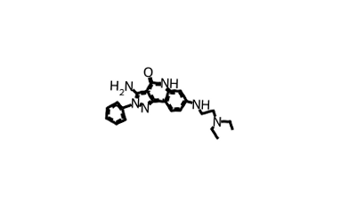 CCN(CC)CCNc1ccc2c(c1)[nH]c(=O)c1c(N)n(-c3ccccc3)nc12